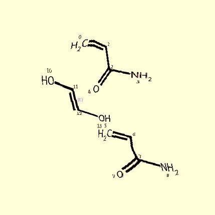 C=CC(N)=O.C=CC(N)=O.O/C=C/O